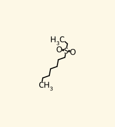 CCCCCCCS(=O)(=O)CC